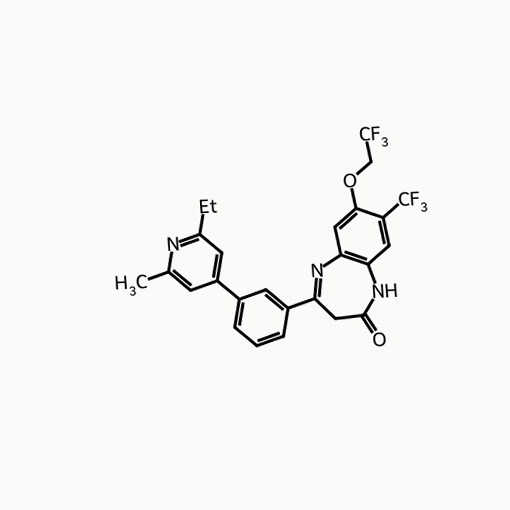 CCc1cc(-c2cccc(C3=Nc4cc(OCC(F)(F)F)c(C(F)(F)F)cc4NC(=O)C3)c2)cc(C)n1